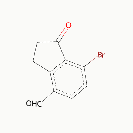 O=Cc1ccc(Br)c2c1CCC2=O